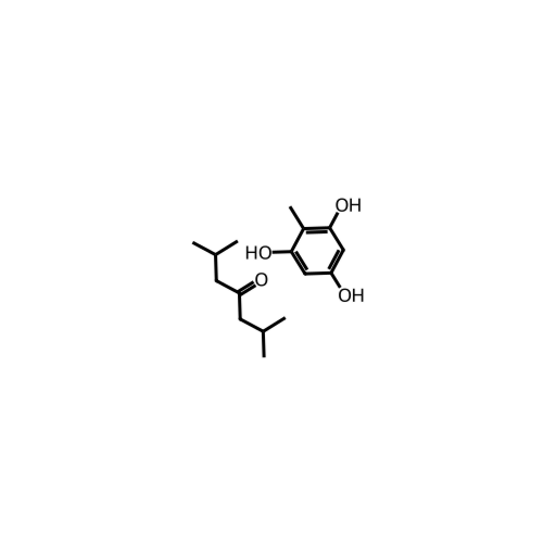 CC(C)CC(=O)CC(C)C.Cc1c(O)cc(O)cc1O